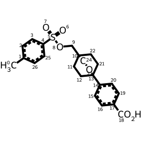 Cc1ccc(S(=O)(=O)OCC23CCC(c4ccc(C(=O)O)cc4)(CC2)OC3)cc1